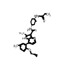 CCC(=O)N[C@H]1CC[C@H](NC(=O)c2c(C)[nH]c3c(-c4cc(C)ccc4OCC4CC4)ccnc23)CC1